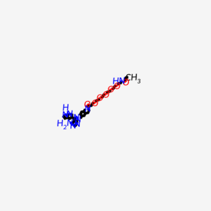 CCC(=O)NCCOCCOCCOCCOCCOCCC(=O)N1CCc2cc(Cn3nc(-c4cnc5[nH]ccc5c4)c4c(N)ncnc43)ccc2C1